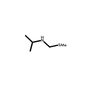 CSCNC(C)C